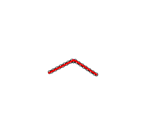 COCCOCCOCCOCCOCCOCCOCCOCCOCCOCCOCCOCCOC(=O)/C=C\C(=O)OCCOCCOCCOCCOCCOCCOCCOCCOCCOCCOCCOCCOC